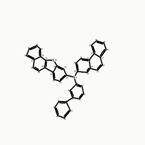 c1ccc(-c2cccc(N(c3ccc4c(ccc5ccccc54)c3)c3ccc4c(c3)sc3c5ccccc5ccc43)c2)cc1